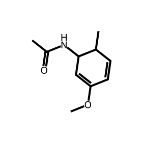 COC1=CC(NC(C)=O)C(C)C=C1